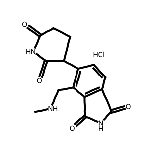 CNCc1c(C2CCC(=O)NC2=O)ccc2c1C(=O)NC2=O.Cl